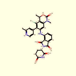 Cc1cc(-c2c(Nc3cccc4c3C(=O)N([C@H]3CCC(=O)NC3=O)C4=O)cc3c(c2F)C(C)OC(=O)N3C)ccn1